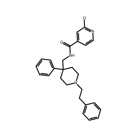 O=C(NCC1(c2ccccc2)CCN(CCc2ccccc2)CC1)c1ccnc(Cl)c1